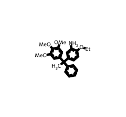 CCOc1ccc(C(C)(c2ccccc2)c2cc(OC)c(OC)c(OC)c2)cc1N